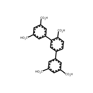 O=C(O)c1cc(C(=O)O)cc(-c2ccc(C(=O)O)c(-c3cc(C(=O)O)cc(C(=O)O)c3)c2)c1